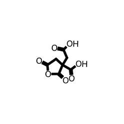 O=C(O)CC1(C(=O)O)CC(=O)OC1=O